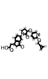 O=C(O)CC1CC(=O)c2cc(N3CCC(Oc4ccc(OCC5CC5)nc4)C3=O)ccc21